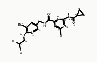 CCc1cc(CNC(=O)c2cc(C)nc(NC(=O)C3CC3)n2)cnc1OCC(F)F